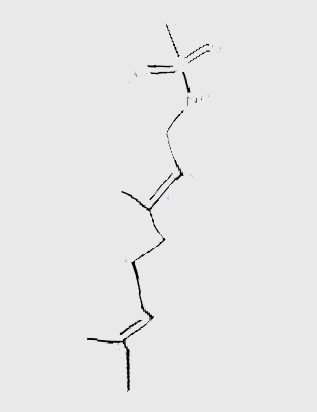 CC(C)=CCC/C(C)=C/CNS(C)(=O)=O